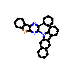 c1ccc(-c2nc3c(nc2-n2c4ccccc4c4cc5ccccc5cc42)sc2ccccc23)cc1